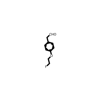 O=CCc1ccc(OCCF)cc1